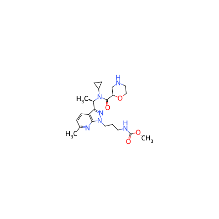 COC(=O)NCCCn1nc([C@@H](C)N(C(=O)C2CNCCO2)C2CC2)c2ccc(C)nc21